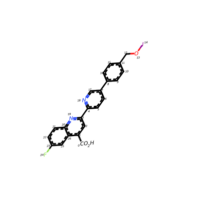 O=C(O)c1cc(-c2ccc(-c3ccc(COI)cc3)cn2)nc2ccc(F)cc12